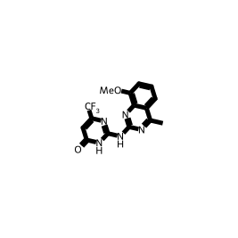 COc1cccc2c(C)nc(Nc3nc(C(F)(F)F)cc(=O)[nH]3)nc12